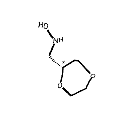 ONC[C@@H]1COCCO1